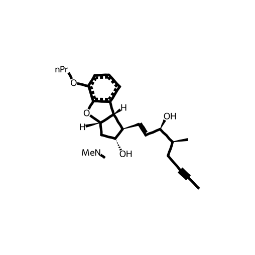 CC#CC[C@H](C)[C@H](O)C=C[C@@H]1[C@H]2c3cccc(OCCC)c3O[C@H]2C[C@H]1O.CNC